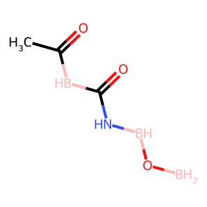 BOBNC(=O)BC(C)=O